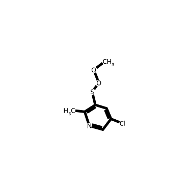 COOSc1cc(Cl)cnc1C